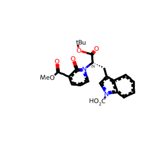 COC(=O)c1cccn([C@@H](Cc2cn(C(=O)O)c3ccccc23)C(=O)OC(C)(C)C)c1=O